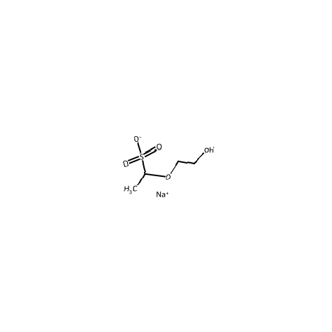 CC(OCCO)S(=O)(=O)[O-].[Na+]